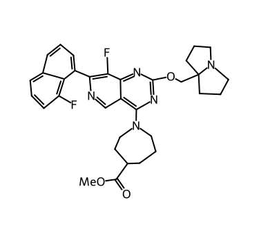 COC(=O)C1CCCN(c2nc(OCC34CCCN3CCC4)nc3c(F)c(-c4cccc5cccc(F)c45)ncc23)CC1